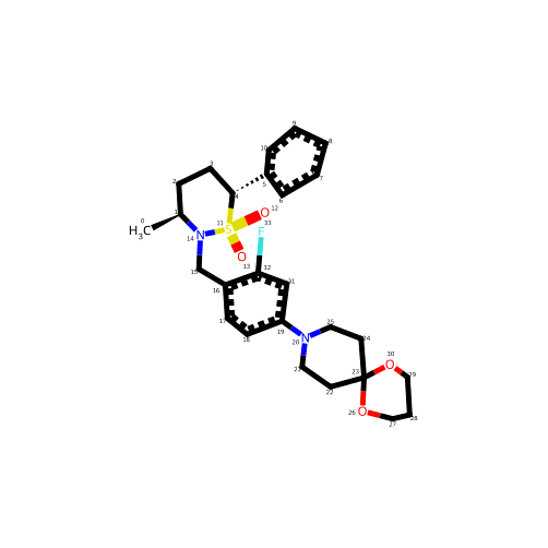 C[C@H]1CC[C@H](c2ccccc2)S(=O)(=O)N1Cc1ccc(N2CCC3(CC2)OCCCO3)cc1F